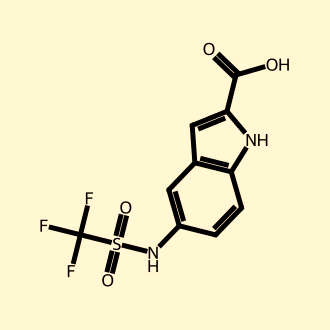 O=C(O)c1cc2cc(NS(=O)(=O)C(F)(F)F)ccc2[nH]1